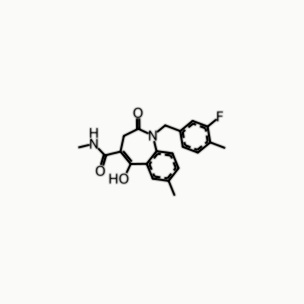 CNC(=O)C1=C(O)c2cc(C)ccc2N(Cc2ccc(C)c(F)c2)C(=O)C1